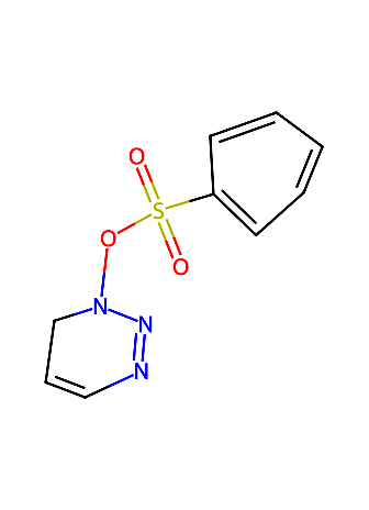 O=S(=O)(ON1CC=CN=N1)c1ccccc1